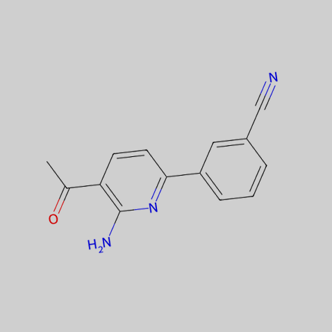 CC(=O)c1ccc(-c2cccc(C#N)c2)nc1N